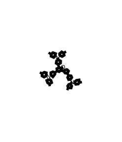 Cc1ccc(N(c2ccc(C)cc2)c2ccc(-c3ccc4oc5c(-c6ccc(N(c7ccc(C)cc7)c7ccc(C)cc7)cc6)cc(-c6ccc(N(c7ccc(C)cc7)c7ccc(C)cc7)cc6)cc5c4c3)cc2)cc1